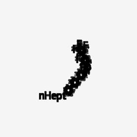 CCCCCCCC1CCC(C2CCC(C3CCC(C(F)(F)Oc4ccc(-c5cc(F)c(F)c(F)c5)c(F)c4)CC3)CC2)CC1